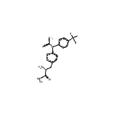 NC(=O)N(c1ccc(C[C@H](N)C(=O)NO)cc1)c1ccc(C(F)(F)F)cc1